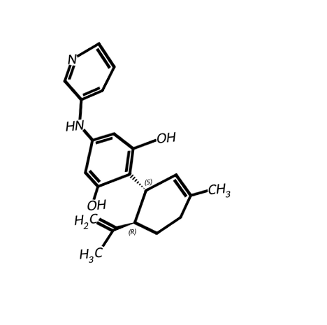 C=C(C)[C@@H]1CCC(C)=C[C@H]1c1c(O)cc(Nc2cccnc2)cc1O